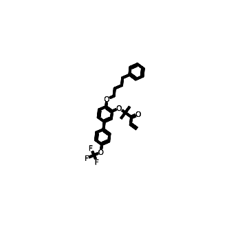 C=CC(=O)C(C)(C)Oc1cc(-c2ccc(OC(F)(F)F)cc2)ccc1OCCCCc1ccccc1